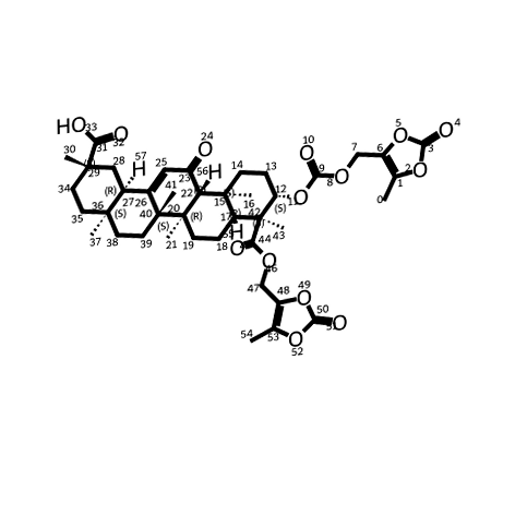 Cc1oc(=O)oc1COC(=O)O[C@H]1CC[C@@]2(C)[C@@H](CC[C@]3(C)[C@@H]2C(=O)C=C2[C@@H]4C[C@@](C)(C(=O)O)CC[C@]4(C)CC[C@]23C)[C@]1(C)C(=O)OCc1oc(=O)oc1C